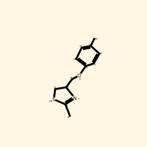 CC1=NC(COc2ccc(C)cc2)CS1